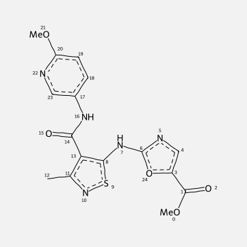 COC(=O)c1cnc(Nc2snc(C)c2C(=O)Nc2ccc(OC)nc2)o1